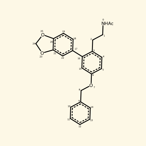 CC(=O)NCCc1ccc(OCc2ccccc2)cc1-c1ccc2c(c1)OCO2